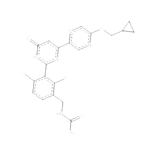 CC(C)C(=O)NCc1ccc(Cl)c(-c2nc(-c3cnc(OCC4CC4)cn3)cc(=O)[nH]2)c1F